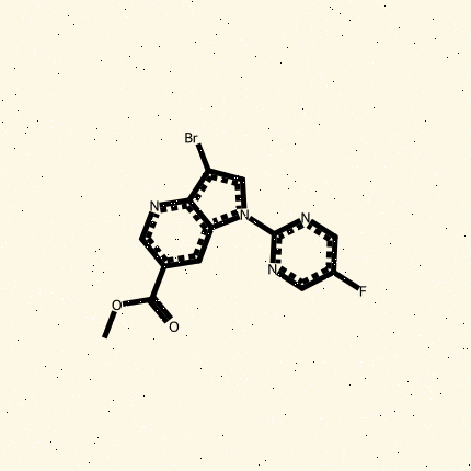 COC(=O)c1cnc2c(Br)cn(-c3ncc(F)cn3)c2c1